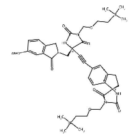 COc1ccc2c(c1)C(=O)N(C[C@@]1(C#Cc3ccc4c(c3)CC[C@]43NC(=O)N(COCC[Si](C)(C)C)C3=O)NC(=O)N(COCC[Si](C)(C)C)C1=O)C2